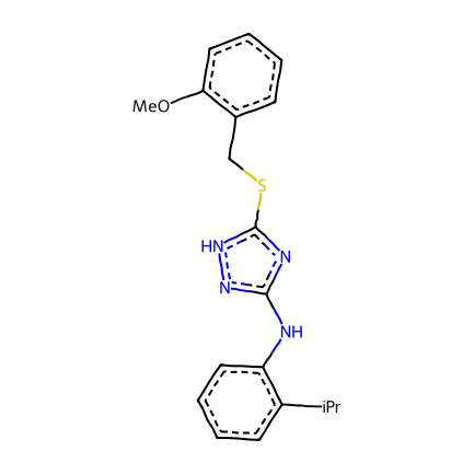 COc1ccccc1CSc1nc(Nc2ccccc2C(C)C)n[nH]1